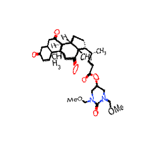 COCN1CC(OC(=O)CC[C@@H](C)[C@H]2CC[C@H]3[C@@H]4C(=O)CC5CC(=O)CCC5(C)[C@H]4CC(=O)C23C)CN(COC)C1=O